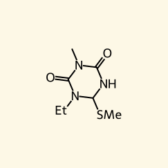 CCN1C(=O)N(C)C(=O)NC1SC